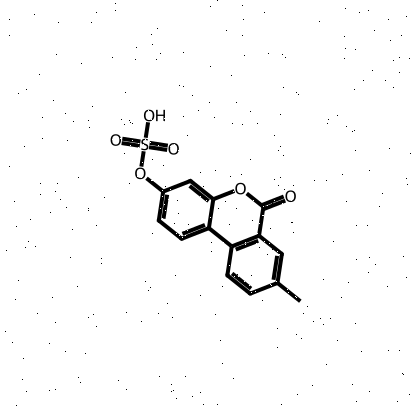 Cc1ccc2c(c1)c(=O)oc1cc(OS(=O)(=O)O)ccc12